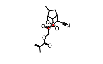 C=C(C)C(=O)OCC(=O)OC1C2CC(C)C1OS(=O)(=O)C2C#N